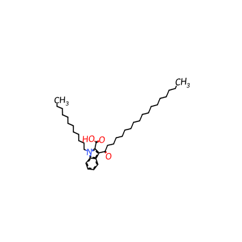 CCCCCCCCCCCCCCCCCC(=O)c1c(C(=O)O)n(CCCCCCCCCCCC)c2ccccc12